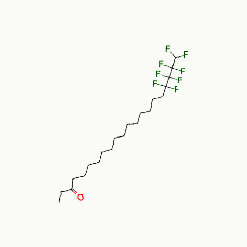 CCC(=O)CCCCCCCCCCCCCCC(F)(F)C(F)(F)C(F)(F)C(F)F